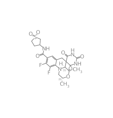 C[C@@H]1CN2c3c(cc(C(=O)NC4CCS(=O)(=O)C4)c(F)c3F)CC3(C(=O)NC(=O)NC3=O)[C@H]2[C@H](C)O1